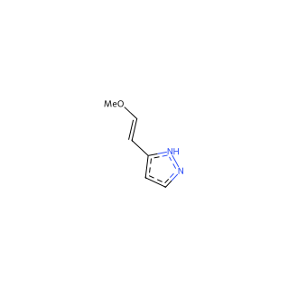 COC=Cc1ccn[nH]1